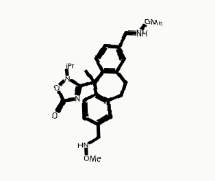 CONCc1ccc2c(c1)CCc1cc(CNOC)ccc1C2(C)c1nc(=O)on1C(C)C